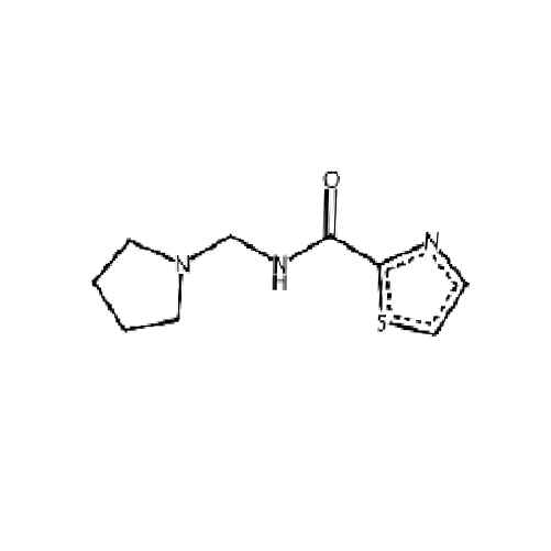 O=C(NCN1CCCC1)c1nccs1